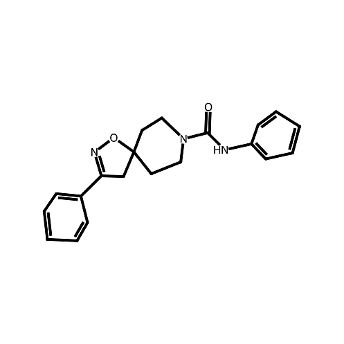 O=C(Nc1ccccc1)N1CCC2(CC1)CC(c1ccccc1)=NO2